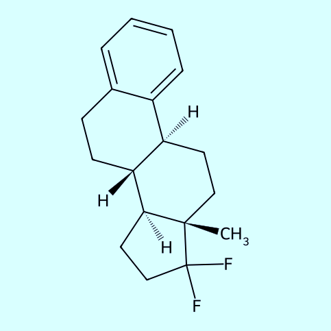 C[C@]12CC[C@@H]3c4ccccc4CC[C@H]3[C@@H]1CCC2(F)F